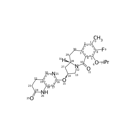 Cc1cc2c(c(OC(C)C)c1F)C(=O)N1C[C@@H](Oc3cc4c(cn3)CCC(=O)N4)C[C@@H]1CC2